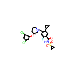 O=C(NS(=O)(=O)C1CC1)c1cc(C2CC2)c(CN2CCC[C@H](Oc3cc(Cl)cc(Cl)c3)C2)cc1F